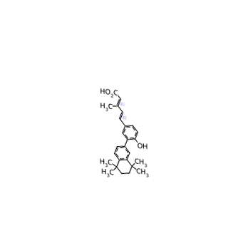 CC(/C=C/c1ccc(O)c(-c2ccc3c(c2)C(C)(C)CCC3(C)C)c1)=C\C(=O)O